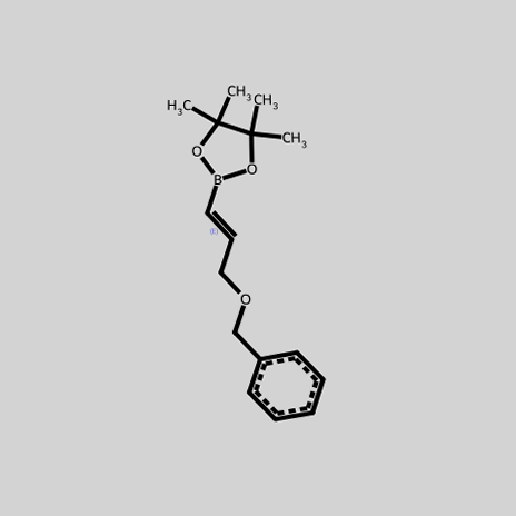 CC1(C)OB(/C=C/COCc2ccccc2)OC1(C)C